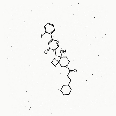 O=C(CCC1CCCCC1)N1CCC(O)(Cn2cnc(-c3ccccc3F)cc2=O)C2(CCC2)C1